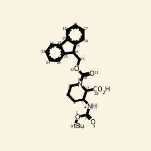 CC(C)(C)OC(=O)NC1CCCN(C(=O)OCC2c3ccccc3-c3ccccc32)C1C(=O)O